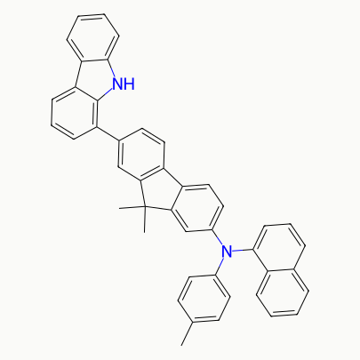 Cc1ccc(N(c2ccc3c(c2)C(C)(C)c2cc(-c4cccc5c4[nH]c4ccccc45)ccc2-3)c2cccc3ccccc23)cc1